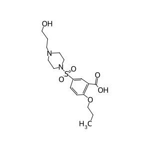 CCCOc1ccc(S(=O)(=O)N2CCN(CCCO)CC2)cc1C(=O)O